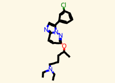 CCN(CC)CCCC(C)Oc1ccc2ncc(-c3cccc(Cl)c3)n2n1